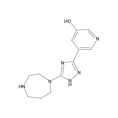 Oc1cncc(-c2n[nH]c(N3CCCNCC3)n2)c1